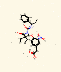 CC[C@@H](NC(=O)N1C(=O)C(CC)(CC)[C@@H]1Oc1ccc(CC(=O)O)cc1[N+](=O)[O-])c1ccccc1